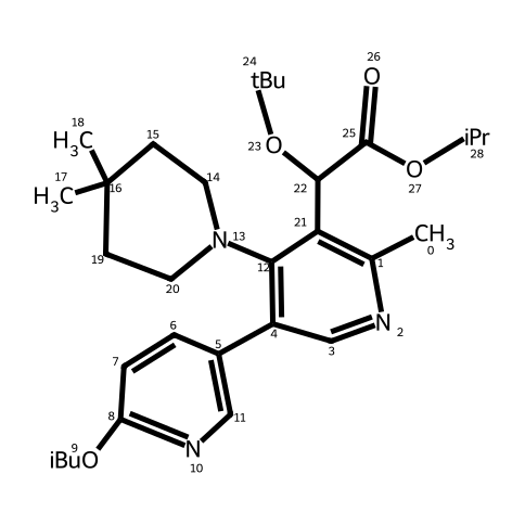 Cc1ncc(-c2ccc(OCC(C)C)nc2)c(N2CCC(C)(C)CC2)c1C(OC(C)(C)C)C(=O)OC(C)C